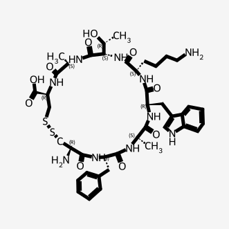 C[C@@H]1NC(=O)[C@H](Cc2ccccc2)NC(=O)[C@@H](N)CSSC[C@@H](C(=O)O)NC(=O)[C@H](C)NC(=O)[C@H]([C@@H](C)O)NC(=O)[C@H](CCCCN)NC(=O)[C@@H](Cc2c[nH]c3ccccc23)NC1=O